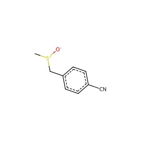 C[S+]([O-])Cc1ccc(C#N)cc1